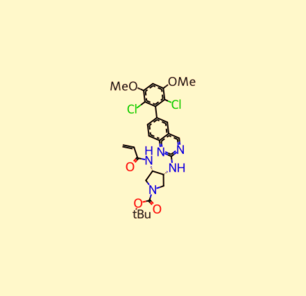 C=CC(=O)N[C@H]1CN(C(=O)OC(C)(C)C)C[C@H]1Nc1ncc2cc(-c3c(Cl)c(OC)cc(OC)c3Cl)ccc2n1